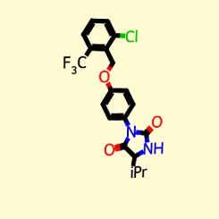 CC(C)C1NC(=O)N(c2ccc(OCc3c(Cl)cccc3C(F)(F)F)cc2)C1=O